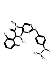 CN1C(=O)C(c2c(F)cccc2F)N(C)c2nc(Nc3ccc([S+]([O-])N(C)C)cc3)ncc21